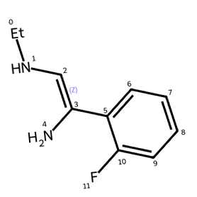 CCN/C=C(\N)c1ccccc1F